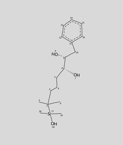 CC(C)(CCC[C@@H](O)[C@H](O)Cc1ccccc1)[Si](C)(C)O